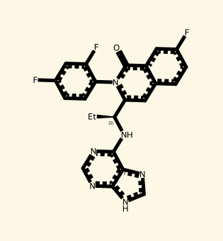 CC[C@H](Nc1ncnc2[nH]cnc12)c1cc2ccc(F)cc2c(=O)n1-c1ccc(F)cc1F